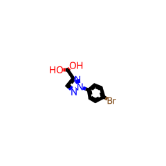 OC(O)c1cnn(-c2ccc(Br)cc2)n1